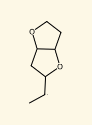 C[CH]C1CC2OCCC2O1